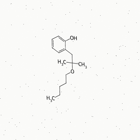 CCCCCOC(C)(C)Cc1ccccc1O